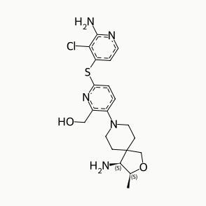 C[C@@H]1OCC2(CCN(c3ccc(Sc4ccnc(N)c4Cl)nc3CO)CC2)[C@@H]1N